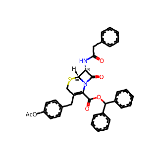 CC(=O)Oc1ccc(CC2=C(C(=O)OC(c3ccccc3)c3ccccc3)N3C(=O)[C@@H](NC(=O)Cc4ccccc4)[C@H]3SC2)cc1